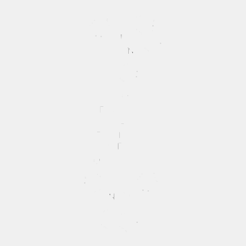 FC(F)(COc1ccc(N(c2cc3ccccc3o2)c2cccc3ccccc23)cc1)C(F)(F)C(F)(F)C(F)(F)COc1cccc(N(c2cc3ccccc3o2)c2cccc3ccccc23)c1